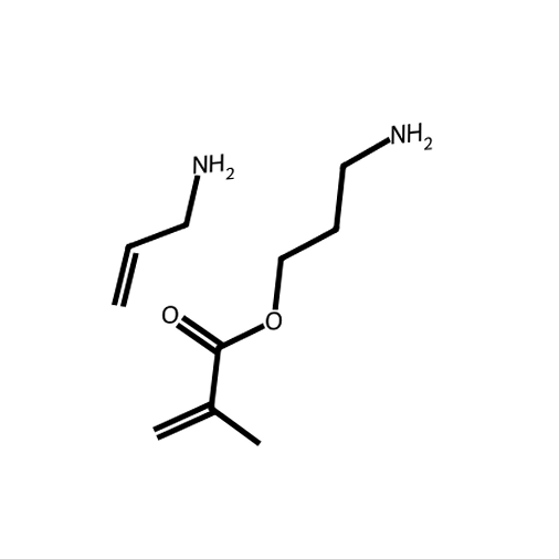 C=C(C)C(=O)OCCCN.C=CCN